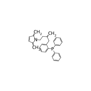 C=C(CCn1c(=C)ccc1=C)Cc1ccccc1P(c1ccccc1)c1ccccc1